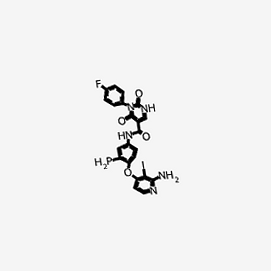 Nc1nccc(Oc2ccc(NC(=O)c3c[nH]c(=O)n(-c4ccc(F)cc4)c3=O)cc2P)c1I